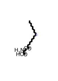 CCCCCCCC/C=C\CCCCCCCC(=O)OC[C@H](N)C(=O)O